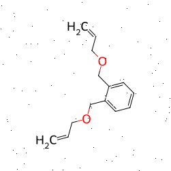 C=CCOCc1ccccc1COCC=C